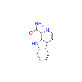 NC(=O)C1=NC=CC2C1NC1C=CC=CC12